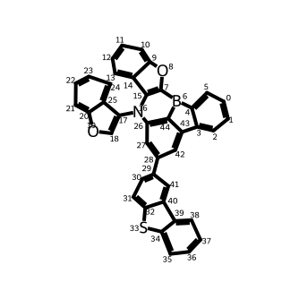 c1ccc2c(c1)B1c3oc4ccccc4c3N(c3coc4ccccc34)c3cc(-c4ccc5sc6ccccc6c5c4)cc-2c31